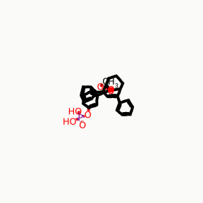 COC1(c2cccc(OP(=O)(O)O)c2)OOC12C1CCCC2C(c2ccccc2)C=C1c1ccccc1